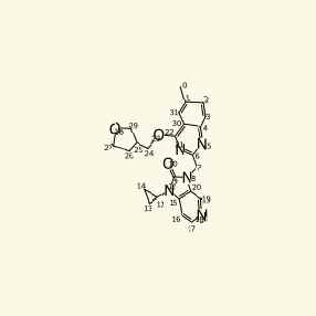 Cc1ccc2nc(Cn3c(=O)n(C4CC4)c4ccncc43)nc(OCC3CCOC3)c2c1